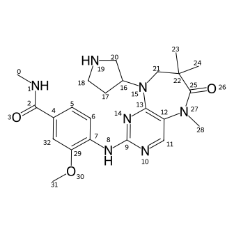 CNC(=O)c1ccc(Nc2ncc3c(n2)N(C2CCNC2)CC(C)(C)C(=O)N3C)c(OC)c1